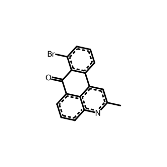 Cc1cc2c3c(cccc3n1)C(=O)c1c(Br)cccc1-2